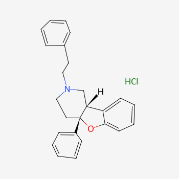 Cl.c1ccc(CCN2CC[C@@]3(c4ccccc4)Oc4ccccc4[C@H]3C2)cc1